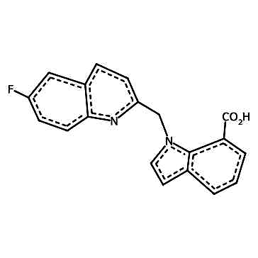 O=C(O)c1cccc2ccn(Cc3ccc4cc(F)ccc4n3)c12